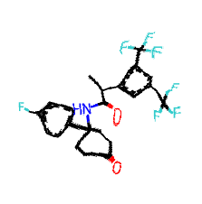 CC(C(=O)NC1(c2ccc(F)cc2)CCC(=O)CC1)c1cc(C(F)(F)F)cc(C(F)(F)F)c1